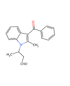 Cc1c(C(=O)c2ccccc2)c2ccccc2n1C(C)CC=O